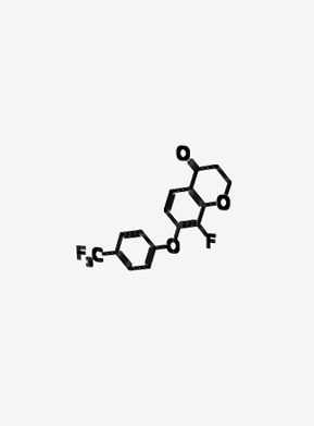 O=C1CCOc2c1ccc(Oc1ccc(C(F)(F)F)cc1)c2F